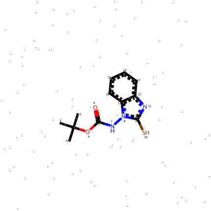 CC(C)(C)OC(=O)Nn1c(S)nc2ccccc21